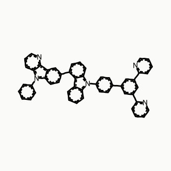 c1ccc(-n2c3ccc(-c4cccc5c4c4ccccc4n5-c4ccc(-c5cc(-c6ccccn6)cc(-c6ccccn6)c5)cc4)cc3c3ncccc32)cc1